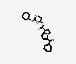 CCC(OC(=O)OC1CCCCC1)OC(=O)[C@H]1CCn2c(C(=O)c3ccccc3)ccc21